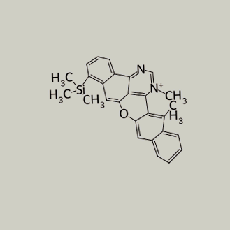 Cc1c2c(cc3ccccc13)Oc1cc3c([Si](C)(C)C)cccc3c3nc[n+](C)c-2c13